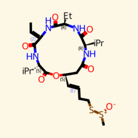 C/C=C1\NC(=O)[C@@H](CC)NC(=O)[C@@H](C(C)C)NC(=O)C[C@@H](/C=C/CCS[S+](C)[O-])OC(=O)[C@H](C(C)C)NC1=O